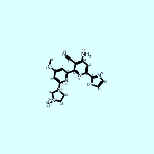 COc1cc(-c2nc(-c3nccs3)cc(N)c2C#N)nc(N2CC[S+]([O-])C2)c1